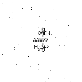 C[Si](C#Cc1c2ccccc2c(C#C[Si](C)(c2ccccc2)c2ccccc2)c2cc3cc4ccccc4cc3cc12)(c1ccccc1)c1ccccc1